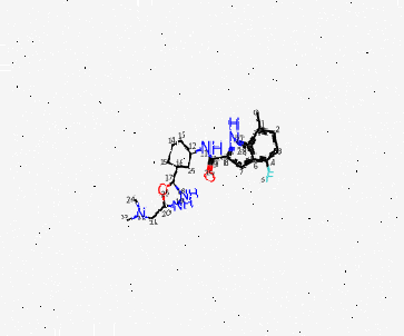 Cc1ccc(F)c2cc(C(=O)N[C@@H]3CCC[C@H]([C@H]4NNC(CN(C)C)O4)C3)[nH]c12